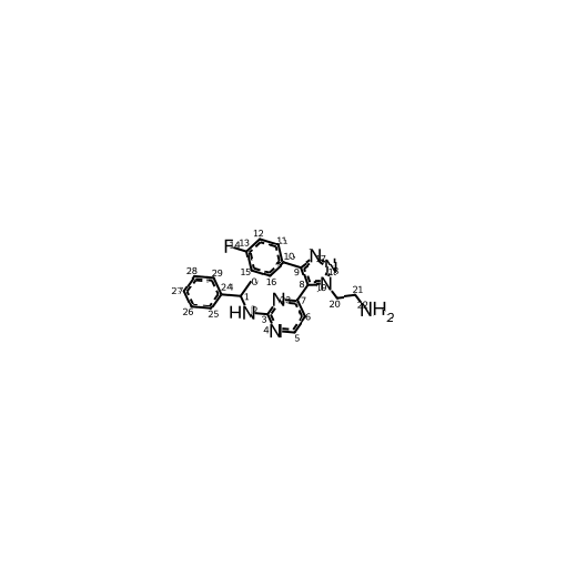 CC(Nc1nccc(-c2c(-c3ccc(F)cc3)nnn2CCN)n1)c1ccccc1